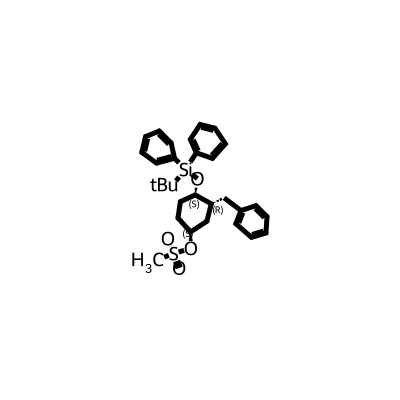 CC(C)(C)[Si](O[C@H]1CC[C@H](OS(C)(=O)=O)C[C@H]1Cc1ccccc1)(c1ccccc1)c1ccccc1